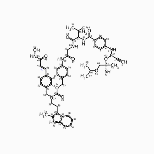 C#CP(Nc1ccc(C(=O)NC(C(=O)NCC(=O)Nc2ccc(COC(=O)N(CCc3c(C)[nH]c4ccccc34)Cc3ccc(/C=C/C(=O)NO)cc3)cc2)C(C)C)cc1)OC(C)(S)COC(C)C